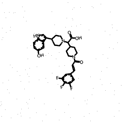 O=C(O)C(C1CCN(C(=O)C=Cc2cc(F)c(F)c(F)c2)CC1)N1CCC(c2c[nH]c3ccc(O)cc23)CC1